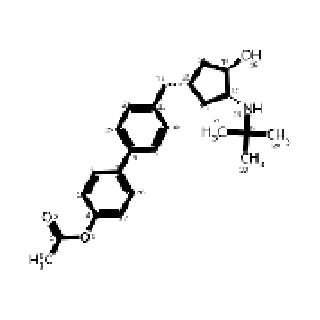 CC(=O)Oc1ccc(-c2ccc(C[C@@H]3C[C@@H](O)[C@H](NC(C)(C)C)C3)cc2)cc1